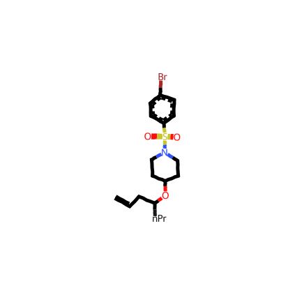 [CH2]CCC(CC=C)OC1CCN(S(=O)(=O)c2ccc(Br)cc2)CC1